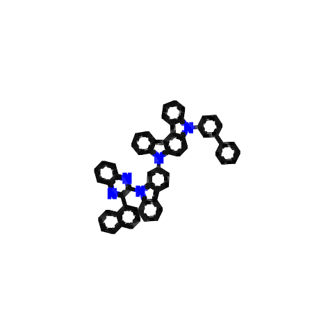 c1ccc(-c2cccc(-n3c4ccccc4c4c5c6ccccc6n(-c6ccc7c8ccccc8n(-c8nc9ccccc9nc8-c8cccc9ccccc89)c7c6)c5ccc43)c2)cc1